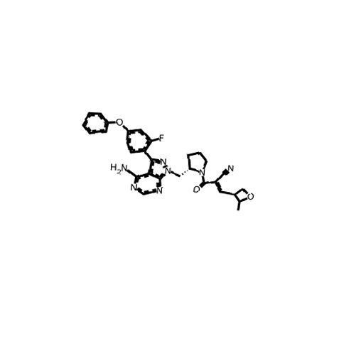 CC1OCC1C=C(C#N)C(=O)N1CCC[C@H]1Cn1nc(-c2ccc(Oc3ccccc3)cc2F)c2c(N)ncnc21